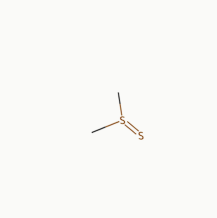 CS(C)=S